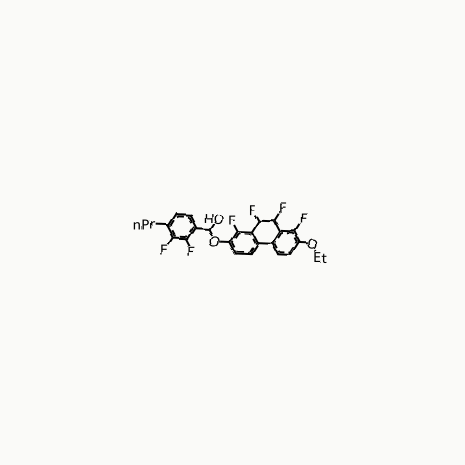 CCCc1ccc(C(O)Oc2ccc3c(c2F)C(F)C(F)c2c-3ccc(OCC)c2F)c(F)c1F